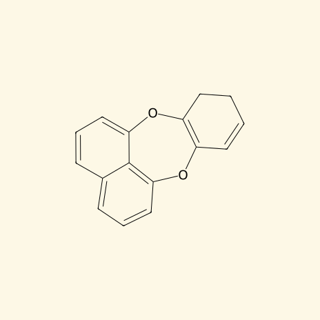 C1=CC2=C(CC1)Oc1cccc3cccc(c13)O2